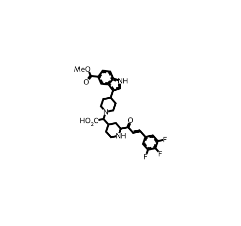 COC(=O)c1ccc2[nH]cc(C3CCN(C(C(=O)O)C4CCNC(C(=O)C=Cc5cc(F)c(F)c(F)c5)C4)CC3)c2c1